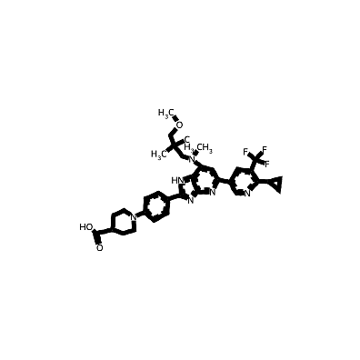 COCC(C)(C)CN(C)c1cc(-c2cnc(C3CC3)c(C(F)(F)F)c2)nc2nc(-c3ccc(N4CCC(C(=O)O)CC4)cc3)[nH]c12